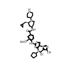 CC[C@@H]1c2c(C#N)ncn2-c2cnc(Nc3ccc(C(=O)NC4CCN(C5CCNCC5)[C@H](CC5CC5)C4)cc3OC)nc2N1C1CCCC1